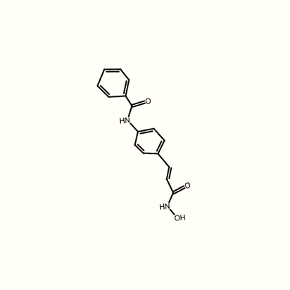 O=C(C=Cc1ccc(NC(=O)c2ccccc2)cc1)NO